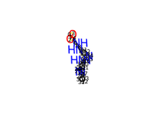 CS(=O)(=O)CCNCCNc1ccc2ncnc(Nc3ccc4c(cnn4Cc4ccccc4)c3)c2c1